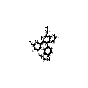 Cn1cnc2ccc(-c3c(-c4cccc(F)n4)nc(N)c4nccn34)cc21